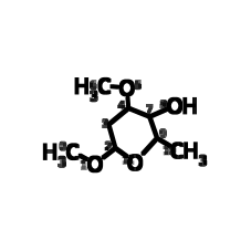 COC1CC(OC)C(O)C(C)O1